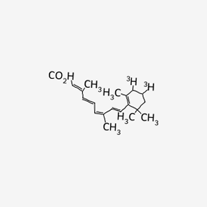 [3H]C1CC(C)(C)C(/C=C/C(C)=C\C=C\C(C)=C\C(=O)O)=C(C)C1[3H]